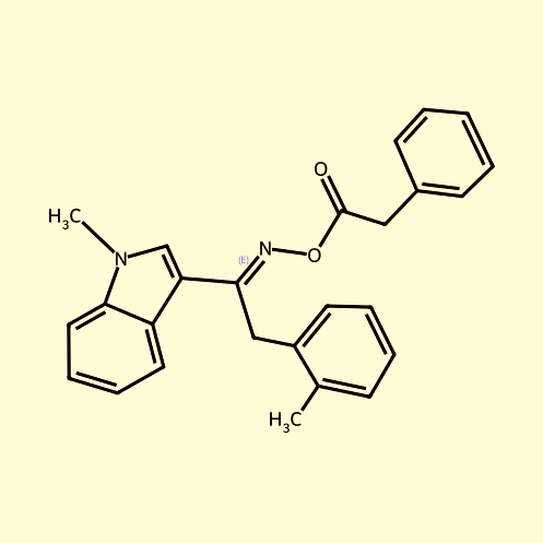 Cc1ccccc1C/C(=N\OC(=O)Cc1ccccc1)c1cn(C)c2ccccc12